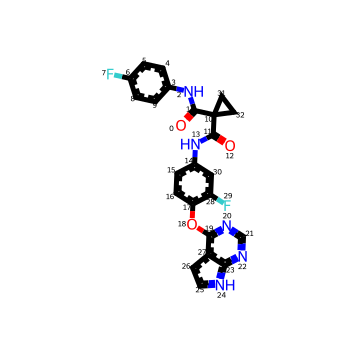 O=C(Nc1ccc(F)cc1)C1(C(=O)Nc2ccc(Oc3ncnc4[nH]ccc34)c(F)c2)CC1